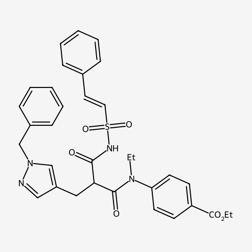 CCOC(=O)c1ccc(N(CC)C(=O)C(Cc2cnn(Cc3ccccc3)c2)C(=O)NS(=O)(=O)/C=C/c2ccccc2)cc1